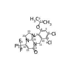 CC(C)Oc1cc(Cl)c(Cl)c(CN2C(=O)C=C(C(F)(F)F)N3CCN=C23)c1